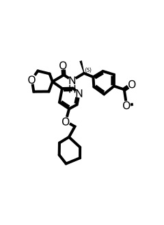 COC(=O)c1ccc([C@H](C)NC(=O)C2(c3cncc(OCC4CCCCC4)c3)CCOCC2)cc1